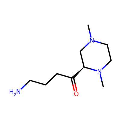 CN1CCN(C)[C@@H](C(=O)CCCN)C1